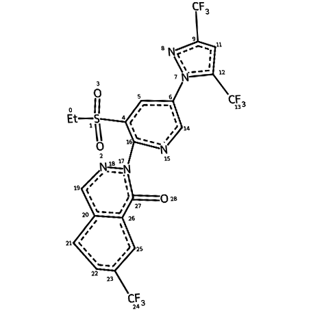 CCS(=O)(=O)c1cc(-n2nc(C(F)(F)F)cc2C(F)(F)F)cnc1-n1ncc2ccc(C(F)(F)F)cc2c1=O